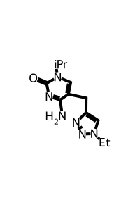 CCn1cc(Cc2cn(C(C)C)c(=O)nc2N)nn1